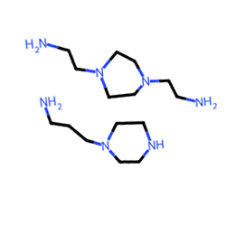 NCCCN1CCNCC1.NCCN1CCN(CCN)CC1